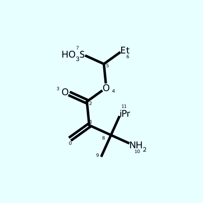 C=C(C(=O)OC(CC)S(=O)(=O)O)C(C)(N)C(C)C